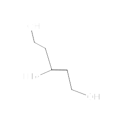 OCCC([TeH])CCO